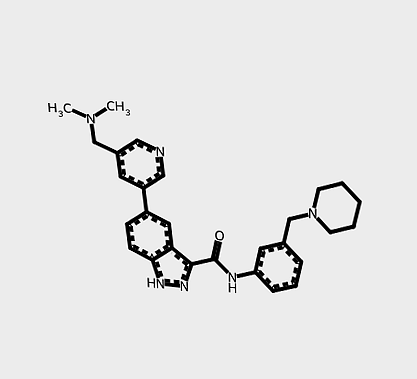 CN(C)Cc1cncc(-c2ccc3[nH]nc(C(=O)Nc4cccc(CN5CCCCC5)c4)c3c2)c1